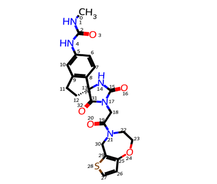 CNC(=O)Nc1ccc2c(c1)CC[C@@]21NC(=O)N(CC(=O)N2CCOc3ccsc3C2)C1=O